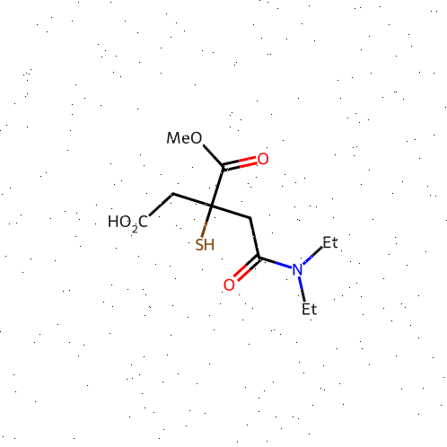 CCN(CC)C(=O)CC(S)(CC(=O)O)C(=O)OC